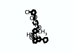 Cc1cc(NS(=O)(=O)c2cccc3cc(C4CCCCC4)cnc23)ccc1C(=O)N1CCN(C(=O)Oc2cccc(Cl)c2)CC1